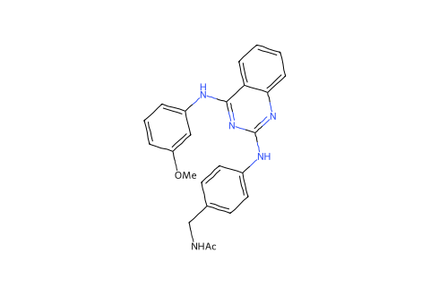 COc1cccc(Nc2nc(Nc3ccc(CNC(C)=O)cc3)nc3ccccc23)c1